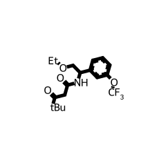 CCOCC(NC(=O)CC(=O)C(C)(C)C)c1cccc(OC(F)(F)F)c1